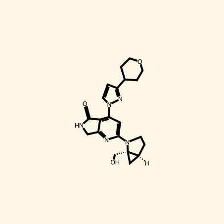 O=C1NCc2nc(N3CC[C@H]4C[C@]43CO)cc(-n3ccc(C4CCOCC4)n3)c21